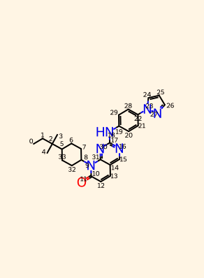 CCC(C)(C)C1CCC(n2c(=O)ccc3cnc(Nc4ccc(-n5cccn5)cc4)nc32)CC1